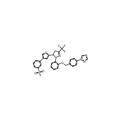 CS(=O)(=O)c1cccc(-c2csc(C3CC(C(F)(F)F)=NN3c3ccccc3OCc3ccc(-n4cncn4)cc3)c2)c1